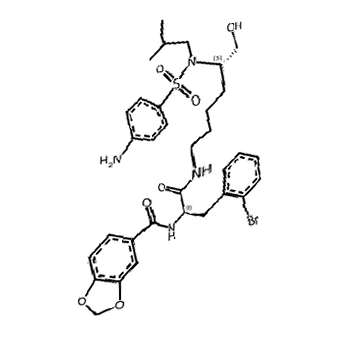 CC(C)CN([C@H](CO)CCCCNC(=O)[C@@H](Cc1ccccc1Br)NC(=O)c1ccc2c(c1)OCO2)S(=O)(=O)c1ccc(N)cc1